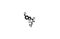 CN(C)CCN(C)C(=O)c1cc2cc(C=O)ccc2[nH]1